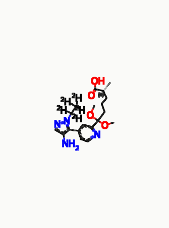 [2H]C([2H])([2H])C([2H])([2H])n1ncc(N)c1-c1ccnc(C(CCC[C@@H](C)C(=O)O)(OC)OC)c1